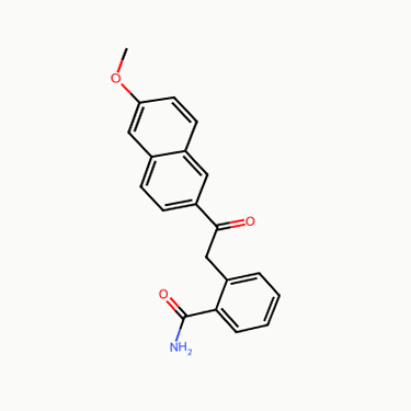 COc1ccc2cc(C(=O)Cc3ccccc3C(N)=O)ccc2c1